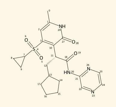 Cc1cc(S(=O)(=O)C2CC2)c([C@@H](CC2CCCC2)C(=O)Nc2cnccn2)c(=O)[nH]1